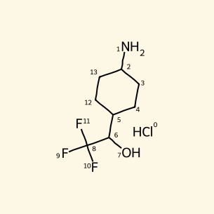 Cl.NC1CCC(C(O)C(F)(F)F)CC1